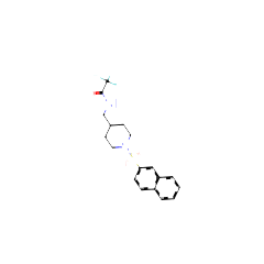 O=C(NCC1CCN(S(=O)(=O)c2ccc3ccccc3c2)CC1)C(F)(F)F